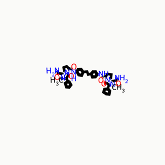 CN(CC(N)=O)C(C(=O)N1CCC[C@H]1C(=O)Nc1ccc(CCc2ccc(NC(=O)[C@@H]3CCCN3C(=O)C(c3ccccc3)N(C)CC(N)=O)cc2)cc1)c1ccccc1